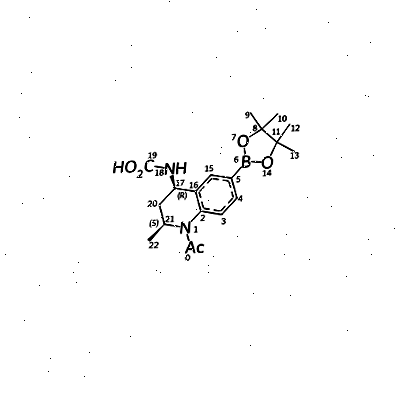 CC(=O)N1c2ccc(B3OC(C)(C)C(C)(C)O3)cc2[C@H](NC(=O)O)C[C@@H]1C